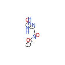 Cc1c(CN(C)C(=O)C=Cc2cnc3c(c2)NCCC(=O)N3)oc2ccccc12